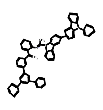 C=C(c1cccc(-c2cc(-c3ccccc3)cc(-c3ccccc3)c2)c1)c1ccccc1/N=C(\C)n1c2ccccc2c2cc(-c3ccc4c(c3)c3ccccc3n4-c3ccccc3)ccc21